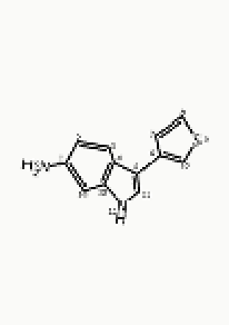 Nc1ccc2c(-c3ccsc3)c[nH]c2c1